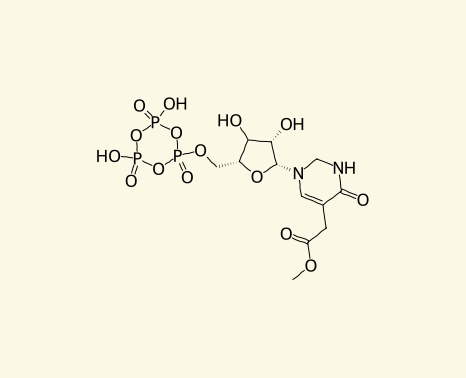 COC(=O)CC1=CN([C@@H]2O[C@H](COP3(=O)OP(=O)(O)OP(=O)(O)O3)C(O)[C@@H]2O)CNC1=O